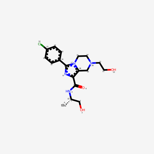 CC(C)(C)[C@@H](CO)NC(=O)c1nc(-c2ccc(Cl)cc2)n2c1CN(CCO)CC2